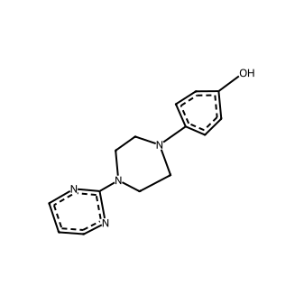 Oc1ccc(N2CCN(c3ncccn3)CC2)cc1